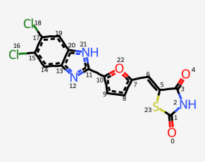 O=C1NC(=O)C(=Cc2ccc(-c3nc4cc(Cl)c(Cl)cc4[nH]3)o2)S1